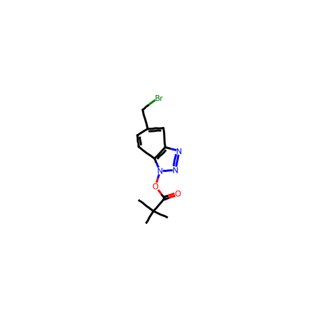 CC(C)(C)C(=O)On1nnc2cc(CBr)ccc21